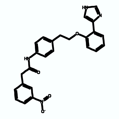 O=C(Cc1cccc([N+](=O)[O-])c1)Nc1ccc(CCOc2ccccc2-c2c[nH]cn2)cc1